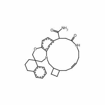 NC(=O)C1CC(=O)NCCC=CCC2CCC2CN2CC3(CCCc4ccccc43)COc3ccc1cc32